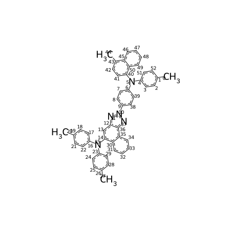 Cc1ccc(N(c2ccc(-n3nc4cc(N(c5ccc(C)cc5)c5ccc(C)cc5)c5ccccc5c4n3)cc2)c2ccc(C)c3ccccc23)cc1